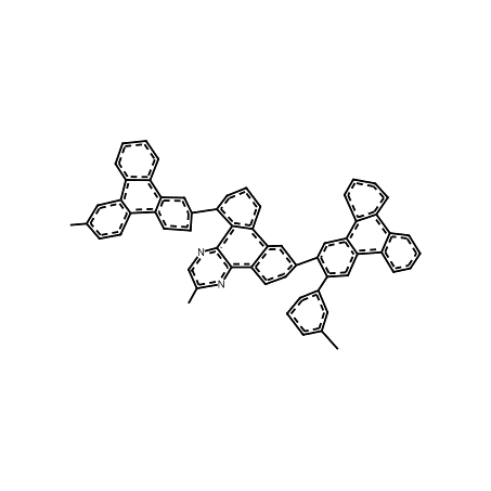 Cc1cccc(-c2cc3c4ccccc4c4ccccc4c3cc2-c2ccc3c(c2)c2cccc(-c4ccc5c6ccc(C)cc6c6ccccc6c5c4)c2c2ncc(C)nc32)c1